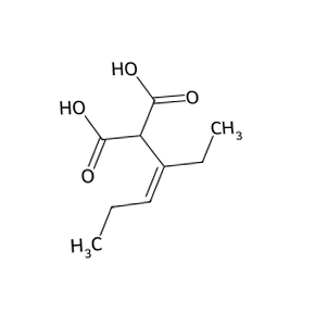 CCC=C(CC)C(C(=O)O)C(=O)O